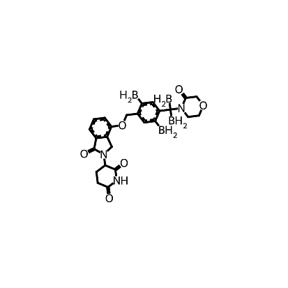 Bc1cc(C(B)(B)N2CCOCC2=O)c(B)cc1COc1cccc2c1CN(C1CCC(=O)NC1=O)C2=O